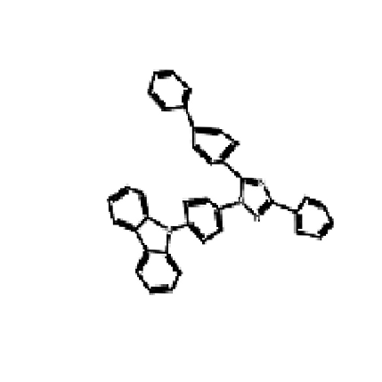 c1ccc(-c2ccc(-c3nc(-c4ccccc4)nn3-c3ccc(-n4c5ccccc5c5ccccc54)cc3)cc2)cc1